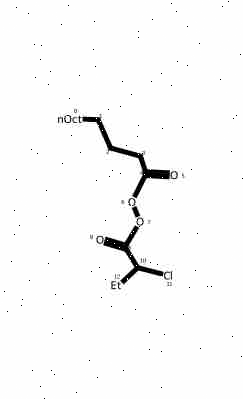 CCCCCCCCCCCC(=O)OOC(=O)C(Cl)CC